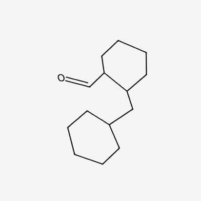 O=CC1CCCCC1CC1CCCCC1